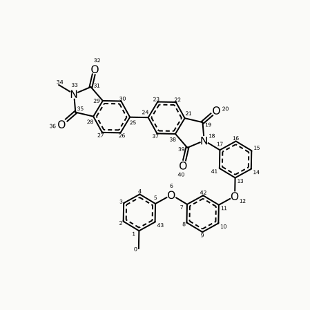 Cc1cccc(Oc2cccc(Oc3cccc(N4C(=O)c5ccc(-c6ccc7c(c6)C(=O)N(C)C7=O)cc5C4=O)c3)c2)c1